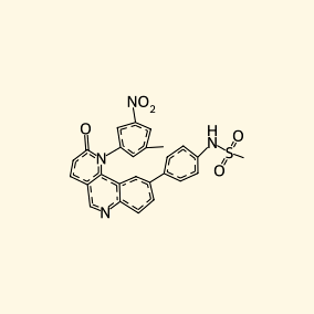 Cc1cc(-n2c(=O)ccc3cnc4ccc(-c5ccc(NS(C)(=O)=O)cc5)cc4c32)cc([N+](=O)[O-])c1